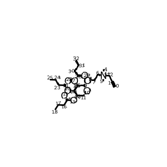 C#CC[N+](C)(C)CCOC1OC[C@@H](OC(=O)CCC)[C@H](OC(=O)CCC)[C@H]1OC(=O)CCC